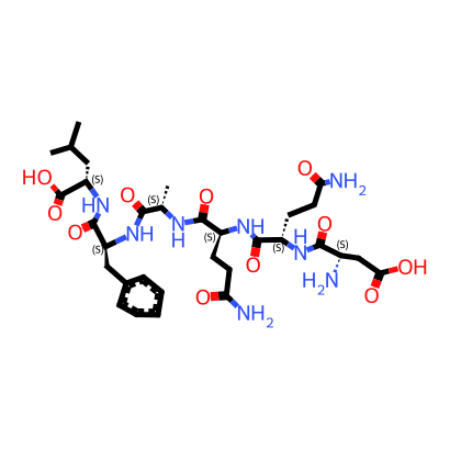 CC(C)C[C@H](NC(=O)[C@H](Cc1ccccc1)NC(=O)[C@H](C)NC(=O)[C@H](CCC(N)=O)NC(=O)[C@H](CCC(N)=O)NC(=O)[C@@H](N)CC(=O)O)C(=O)O